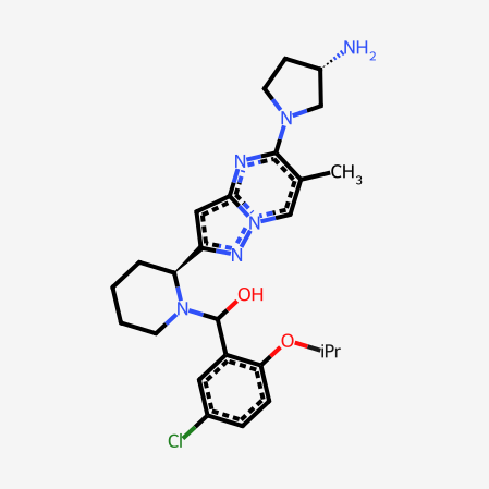 Cc1cn2nc([C@@H]3CCCCN3C(O)c3cc(Cl)ccc3OC(C)C)cc2nc1N1CC[C@H](N)C1